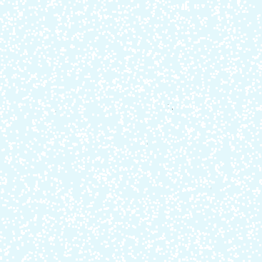 Brc1ccc2ccnc(OC3CCOCC3)c2c1